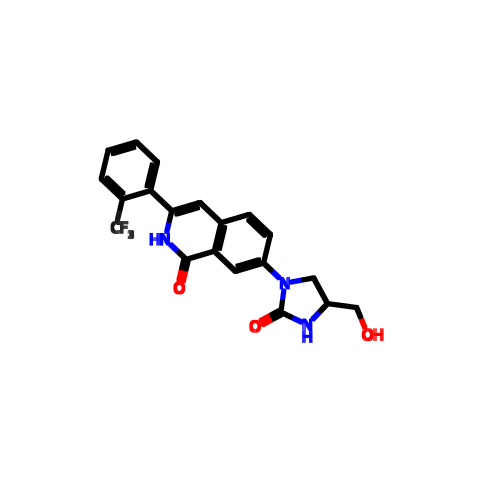 O=C1NC(CO)CN1c1ccc2cc(-c3ccccc3C(F)(F)F)[nH]c(=O)c2c1